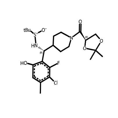 Cc1cc(O)c([C@H](N[S+]([O-])C(C)(C)C)C2CCN(C(=O)[C@H]3COC(C)(C)O3)CC2)c(F)c1Cl